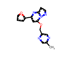 Cc1cnc(COc2cc(-c3ccco3)nc3ccnn23)cn1